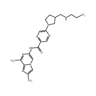 Cc1cn2cc(NC(=O)c3cnc(N4CCC(CNCCC(F)(F)F)C4)cn3)nc(C)c2n1